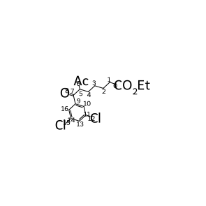 CCOC(=O)CCCCC(C(C)=O)C(=O)c1cc(Cl)cc(Cl)c1